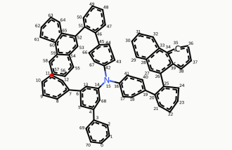 c1ccc(-c2cc(-c3ccccc3)cc(N(c3ccc(-c4ccccc4-c4cc5ccccc5c5ccccc45)cc3)c3ccc(-c4ccccc4-c4cc5ccccc5c5ccccc45)cc3)c2)cc1